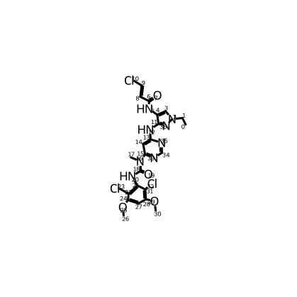 CCn1cc(NC(=O)/C=C/Cl)c(Nc2cc(N(C)C(=O)Nc3c(Cl)c(OC)cc(OC)c3Cl)ncn2)n1